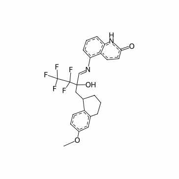 COc1ccc2c(c1)CCCC2CC(O)(/C=N/c1cccc2[nH]c(=O)ccc12)C(F)(F)C(F)(F)F